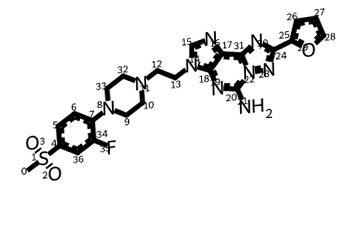 CS(=O)(=O)c1ccc(N2CCN(CCn3cnc4c3nc(N)n3nc(-c5ccco5)nc43)CC2)c(F)c1